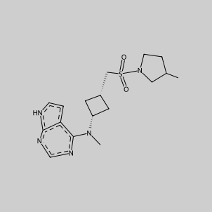 CC1CCN(S(=O)(=O)C[C@H]2C[C@@H](N(C)c3ncnc4[nH]ccc34)C2)C1